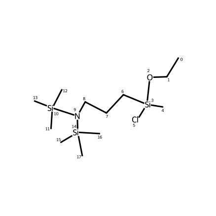 CCO[Si](C)(Cl)CCCN([Si](C)(C)C)[Si](C)(C)C